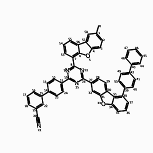 Cc1ccc2oc3c(-c4nc(-c5ccc(-c6cccc(C#N)c6)cc5)nc(-c5ccc6c(c5)oc5cccc(-c7ccc(-c8ccccc8)cc7)c56)n4)cccc3c2c1